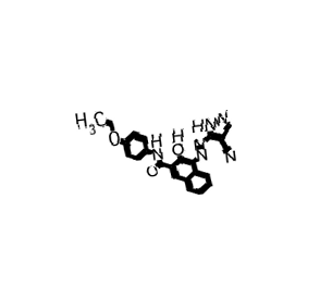 CCOc1ccc(NC(=O)c2cc3ccccc3c(/N=N/c3[nH]ncc3C#N)c2O)cc1